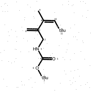 C=C(CNC(=O)OC(C)(C)C)/C(C)=C\C(C)(C)C